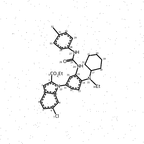 CCOC(=O)c1cc2ccc(Cl)cc2n1-c1ccc(N(CC)C2CCCCC2)c(NC(=O)Nc2ccc(C)cc2)c1